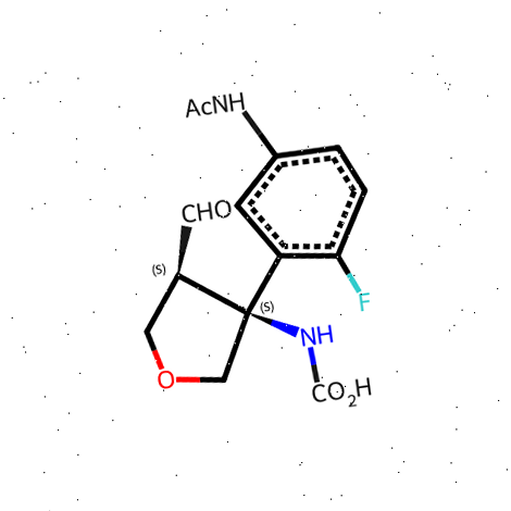 CC(=O)Nc1ccc(F)c([C@]2(NC(=O)O)COC[C@H]2C=O)c1